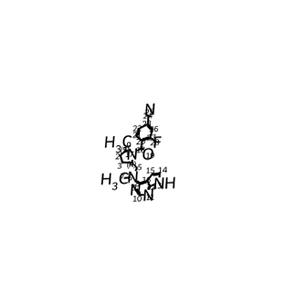 C[C@H]1CC[C@H](CN(C)c2ncnc3[nH]ccc23)N1C(=O)c1ccc(C#N)cc1F